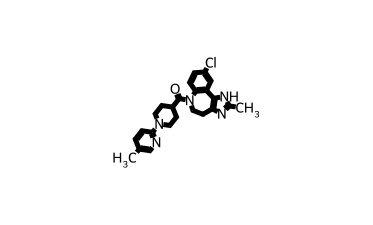 Cc1ccc(N2CCC(C(=O)N3CCc4nc(C)[nH]c4-c4cc(Cl)ccc43)CC2)nc1